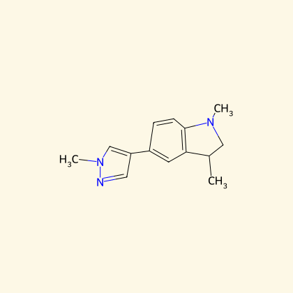 CC1CN(C)c2ccc(-c3cnn(C)c3)cc21